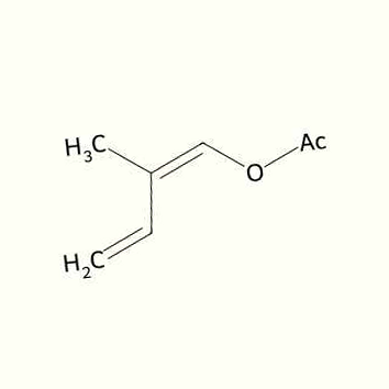 C=CC(C)=COC(C)=O